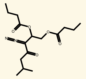 CCCC(=O)OCC(OC(=O)CCC)C(=[N+]=[N-])C(=O)CC(C)C